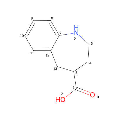 O=C(O)C1CCNc2ccccc2C1